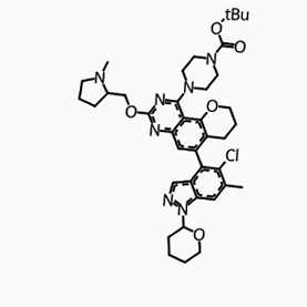 Cc1cc2c(cnn2C2CCCCO2)c(-c2cc3nc(OCC4CCCN4C)nc(N4CCN(C(=O)OC(C)(C)C)CC4)c3c3c2CCCO3)c1Cl